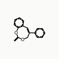 C=C1OC/C(c2ccccc2)=C\c2ccccc2O1